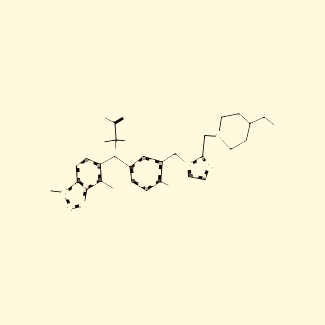 CCC1CCN(Cc2nccn2Cc2cc([C@@H](c3ccc4c(nnn4C)c3C)C(C)(C)C(=O)O)ccc2C)CC1